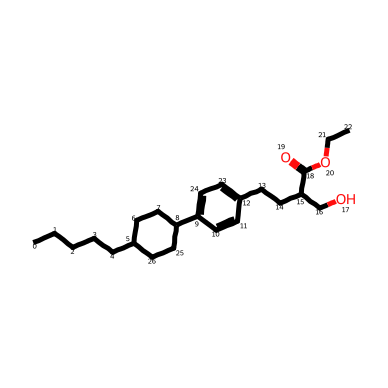 CCCCCC1CCC(c2ccc(CCC(CO)C(=O)OCC)cc2)CC1